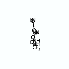 Cn1cc(C#Cc2ccn3c(-c4cccc(NC(=O)NCC(F)(F)F)c4)cnc3c2)cn1